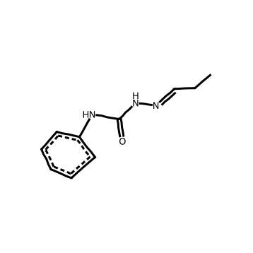 CC/C=N/NC(=O)Nc1ccccc1